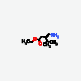 CCOC(=O)C/C(=C/N)C(C)C